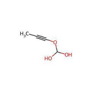 CC#COC(O)O